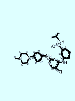 CC(C)N[S+]([O-])c1cccc(Nc2nc(Nc3ccc(N4CCN(C)CC4)cc3)ncc2Cl)c1